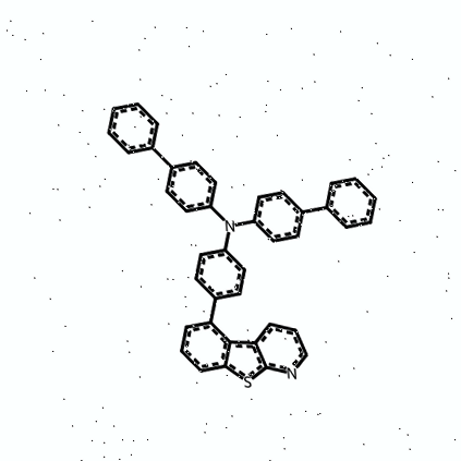 c1ccc(-c2ccc(N(c3ccc(-c4ccccc4)cc3)c3ccc(-c4cccc5sc6ncccc6c45)cc3)cc2)cc1